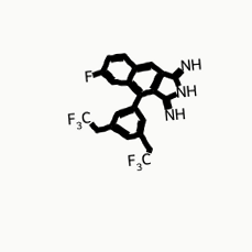 N=C1NC(=N)c2c1cc1ccc(F)cc1c2-c1cc(CC(F)(F)F)cc(CC(F)(F)F)c1